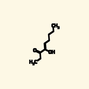 CCCCC=C(O)C(=O)CC